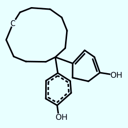 OC1=CC=C(C2(c3ccc(O)cc3)CCCCCCCCCCC2)CC1